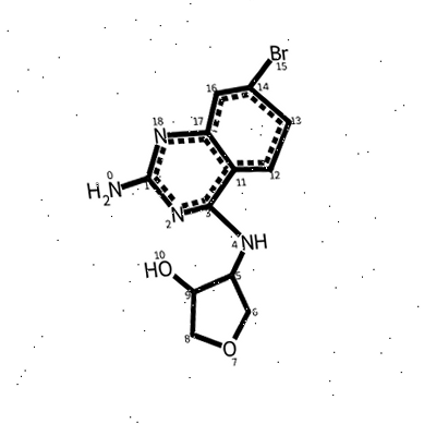 Nc1nc(NC2COCC2O)c2ccc(Br)cc2n1